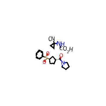 N#CC1(NC(=O)O)CC1.O=C([C@@H]1CC[C@@H](S(=O)(=O)c2ccccc2)C1)N1CCCC1